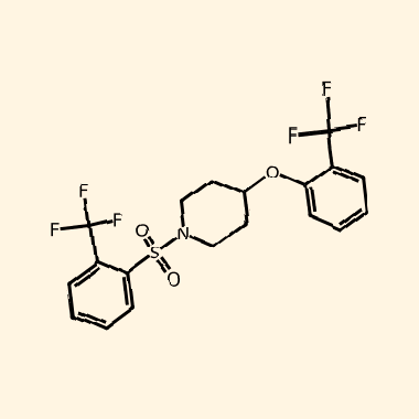 O=S(=O)(c1ccccc1C(F)(F)F)N1CCC(Oc2ccccc2C(F)(F)F)CC1